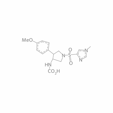 COc1ccc(C2CN(S(=O)(=O)c3cn(C)cn3)CC2NC(=O)O)cc1